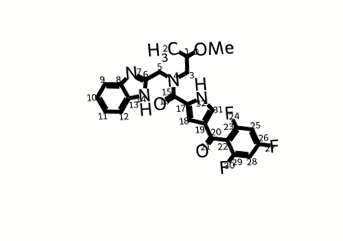 COC(C)CN(Cc1nc2ccccc2[nH]1)C(=O)c1cc(C(=O)c2c(F)cc(F)cc2F)c[nH]1